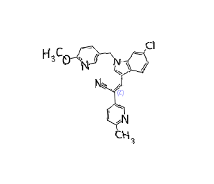 COc1ccc(Cn2cc(/C=C(\C#N)c3ccc(C)nc3)c3ccc(Cl)cc32)cn1